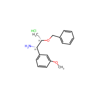 COc1cccc([C@H](N)[C@H](C)OCc2ccccc2)c1.Cl